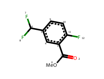 COC(=O)c1cc(C(F)F)ccc1F